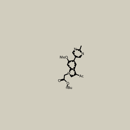 CCCCOC(=O)Cn1cc(C(C)=O)c2cc(-c3cnc(C)nc3)c(OC)cc21